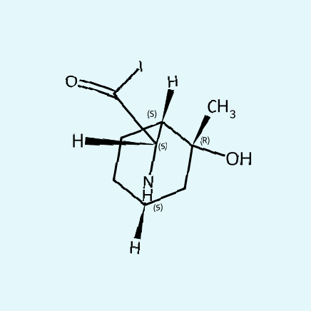 C[C@@]1(O)C[C@@H]2CC[C@H]1[C@@H](C(=O)I)N2